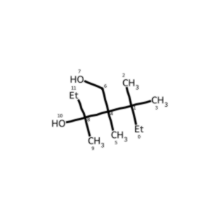 CCC(C)(C)C(C)(CO)C(C)(O)CC